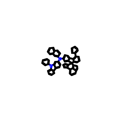 c1ccc(-c2cccc3c2-c2ccc(N(c4ccc5ccccc5c4)c4ccc5c6ccccc6n(-c6ccccc6)c5c4)cc2C32c3ccccc3-c3cccc4cccc2c34)cc1